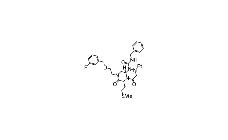 CCN1CC(=O)N2[C@@H](CCSC)C(=O)N(CCOCc3cccc(F)c3)C[C@@H]2N1C(=O)NCc1ccccc1